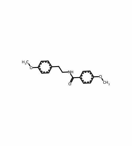 COc1ccc(CCNC(=O)c2ccc(OC)cc2)cc1